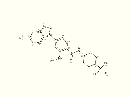 CC(C)Nc1cc(-c2cnn3cc(C#N)cnc23)ncc1C(=O)N[C@H]1CC[C@H](C(C)(C)O)CC1